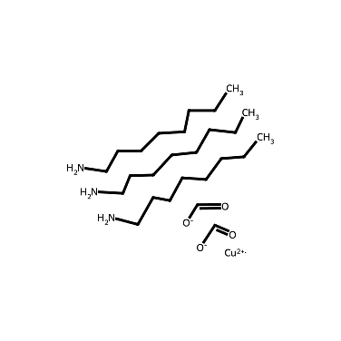 CCCCCCCCN.CCCCCCCCN.CCCCCCCCN.O=C[O-].O=C[O-].[Cu+2]